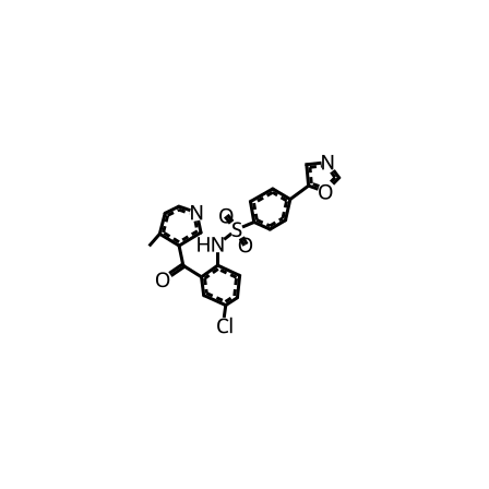 Cc1ccncc1C(=O)c1cc(Cl)ccc1NS(=O)(=O)c1ccc(-c2cnco2)cc1